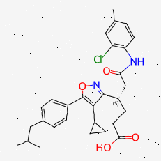 Cc1ccc(NC(=O)C[C@H](CCC(=O)O)c2noc(-c3ccc(CC(C)C)cc3)c2C2CC2)c(Cl)c1